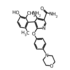 Cc1ccc(O)c(C)c1-c1c(Oc2ccc(N3CCOCC3)cc2)ncc(C(N)=O)c1N